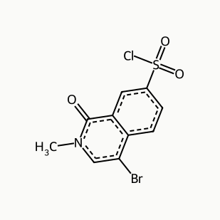 Cn1cc(Br)c2ccc(S(=O)(=O)Cl)cc2c1=O